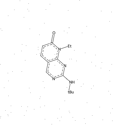 CCn1c(=O)ccc2cnc(NC(C)(C)C)nc21